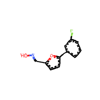 ON=Cc1ccc(-c2cccc(F)c2)o1